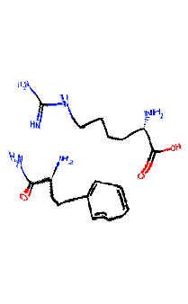 N=C(N)NCCC[C@H](N)C(=O)O.NC(=O)[C@@H](N)Cc1ccccc1